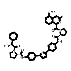 COc1cccc2c(C(=O)N3CCC[C@H]3C(=O)Nc3ccc(-c4ccc(-c5ccc(NC(=O)[C@@H]6CCCN6C(=O)[C@@H](O)c6ccccc6)cc5)o4)cc3)nc(Cl)cc12